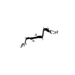 [CH]=CC=CC=CC(C)C